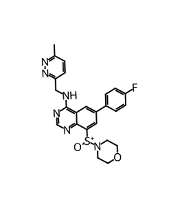 Cc1ccc(CNc2ncnc3c([S+]([O-])N4CCOCC4)cc(-c4ccc(F)cc4)cc23)nn1